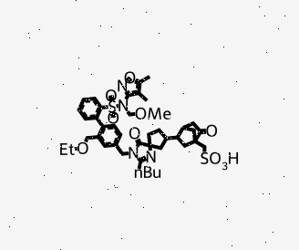 CCCCC1=NC2(CCC(C3CC4(CS(=O)(=O)O)CC3CC4=O)C2)C(=O)N1Cc1ccc(-c2ccccc2S(=O)(=O)N(COC)c2noc(C)c2C)c(COCC)c1